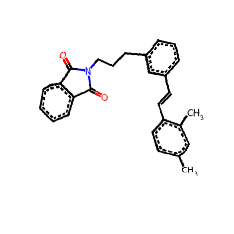 Cc1ccc(C=Cc2cccc(CCCN3C(=O)c4ccccc4C3=O)c2)c(C)c1